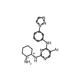 CC(=O)c1cnc(N[C@@H]2CCCC[C@@H]2N)nc1Nc1cccc(-n2ccnn2)c1